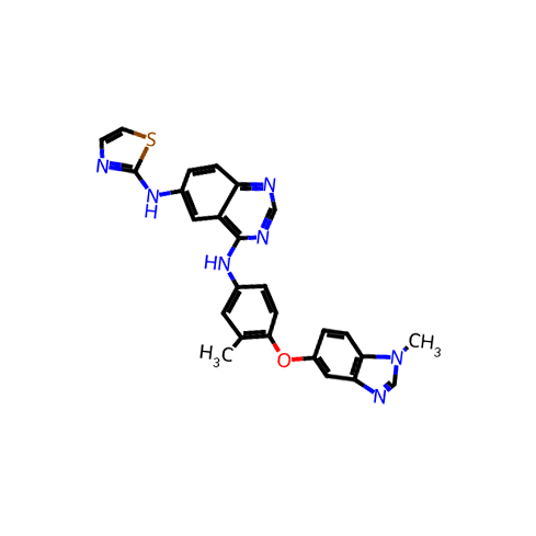 Cc1cc(Nc2ncnc3ccc(Nc4nccs4)cc23)ccc1Oc1ccc2c(c1)ncn2C